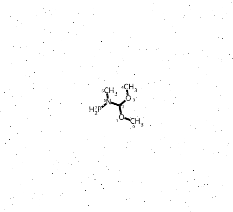 COC(OC)N(C)P